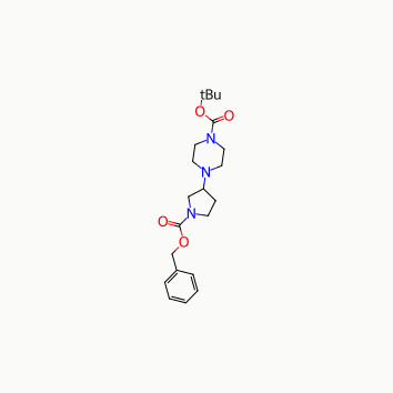 CC(C)(C)OC(=O)N1CCN(C2CCN(C(=O)OCc3ccccc3)C2)CC1